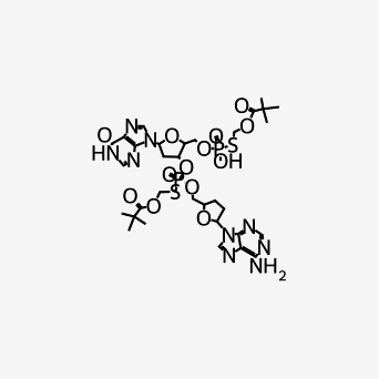 CC(C)(C)C(=O)OCSP(=O)(O)OCC1OC(n2cnc3c(=O)[nH]cnc32)CC1OP(=O)(OCC1CCC(n2cnc3c(N)ncnc32)O1)SCOC(=O)C(C)(C)C